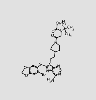 CC(C)(C)N(CC(=O)N1CCC(CCn2c(Sc3cc4c(cc3Br)OCO4)nc3c(N)ncnc32)CC1)C(=O)O